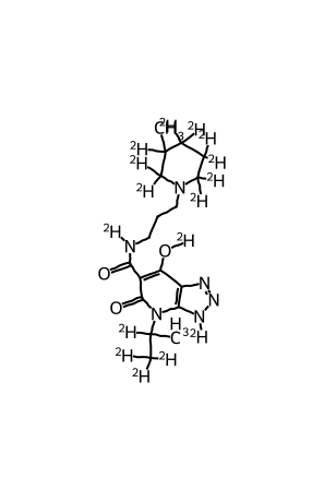 [2H]Oc1c(C(=O)N([2H])CCCN2C([2H])([2H])C([2H])([2H])C([2H])([2H])C([2H])(C)C2([2H])[2H])c(=O)n(C([2H])(C)C([2H])([2H])[2H])c2c1nnn2[2H]